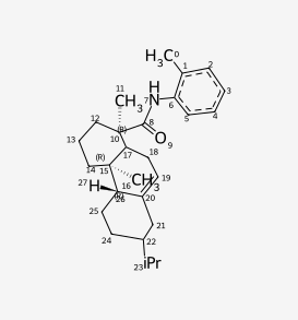 Cc1ccccc1NC(=O)[C@]1(C)CCC[C@@]2(C)C1CC=C1CC(C(C)C)CC[C@@H]12